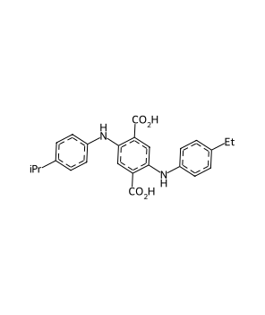 CCc1ccc(Nc2cc(C(=O)O)c(Nc3ccc(C(C)C)cc3)cc2C(=O)O)cc1